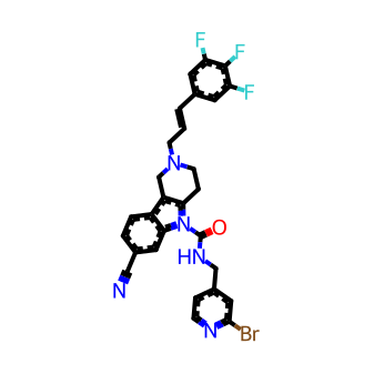 N#Cc1ccc2c3c(n(C(=O)NCc4ccnc(Br)c4)c2c1)CCN(CC=Cc1cc(F)c(F)c(F)c1)C3